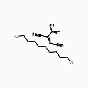 N#CC=C(C#N)C(=O)O.OCCCCCCCCCO